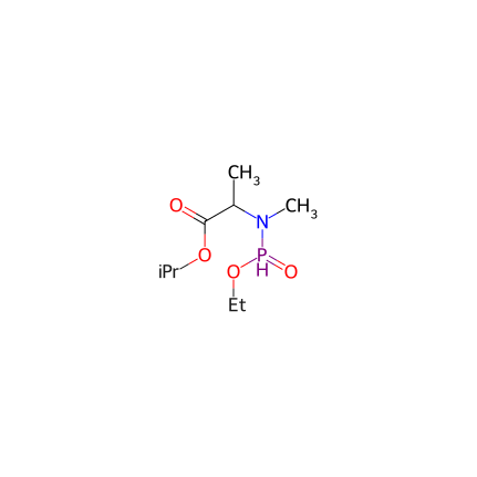 CCO[PH](=O)N(C)C(C)C(=O)OC(C)C